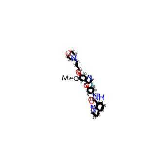 COc1cc2c(Oc3ccc(NC(=O)c4cccc5cccnc45)cc3F)ccnc2cc1OCCCN1CCOCC1